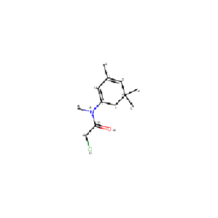 CC1=CC(C)(C)CC(N(C)C(=O)CCl)=C1